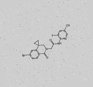 N#Cc1cnc(NC(=O)CN2CC3(CC3)c3cc(Br)ccc3C2=O)c(F)c1